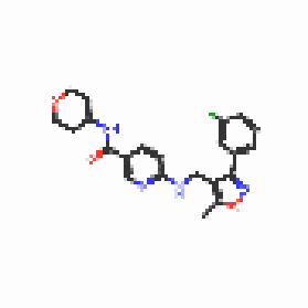 Cc1onc(-c2cccc(F)c2)c1CNc1ccc(C(=O)NC2CCOCC2)cn1